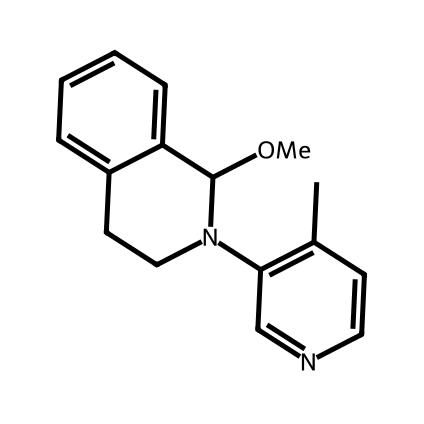 COC1c2ccccc2CCN1c1cnccc1C